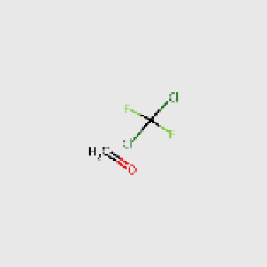 C=O.FC(F)(Cl)Cl